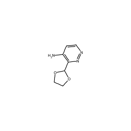 Nc1ccnnc1C1OCCO1